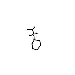 CC(C)[Si](C)(C)N1CCCCC1